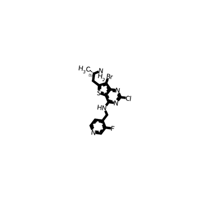 C[C@H](N)Cc1sc2c(NCc3ccncc3F)nc(Cl)nc2c1Br